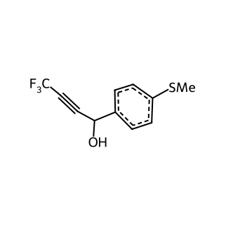 CSc1ccc(C(O)C#CC(F)(F)F)cc1